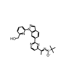 CC(=N[S@+]([O-])C(C)(C)C)c1ccnc(-c2ccc3cnn(-c4cccc(CO)n4)c3c2)n1